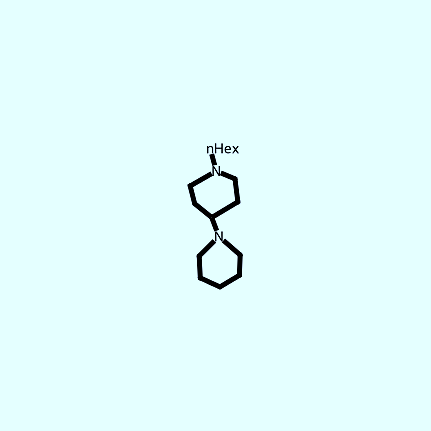 CCCCCCN1CCC(N2CCCCC2)CC1